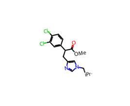 COC(=O)C(Cc1cn(C[C](C)C)cn1)c1ccc(Cl)c(Cl)c1